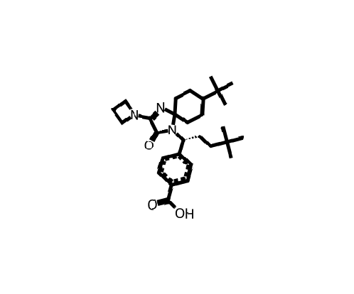 CC(C)(C)CC[C@H](c1ccc(C(=O)O)cc1)N1C(=O)C(N2CCC2)=NC12CCC(C(C)(C)C)CC2